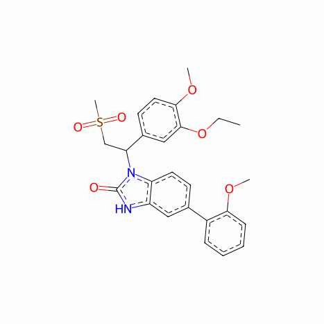 CCOc1cc(C(CS(C)(=O)=O)n2c(=O)[nH]c3cc(-c4ccccc4OC)ccc32)ccc1OC